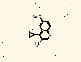 COc1ccc2ncc(N)c(C3CC3)c2c1